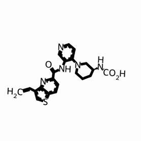 C=Cc1csc2ccc(C(=O)Nc3cnccc3N3CCC[C@H](NC(=O)O)C3)nc12